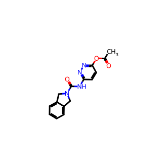 CC(=O)Oc1ccc(NC(=O)N2Cc3ccccc3C2)nn1